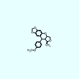 C=C1OCC2Oc3cc4c(cc3C(c3ccc(OC)cc3)C12)OCO4